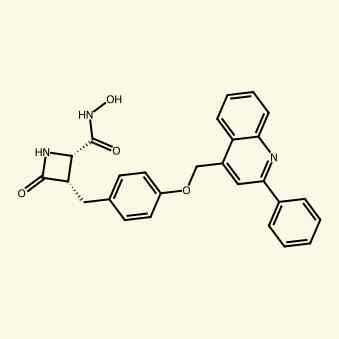 O=C1N[C@H](C(=O)NO)[C@@H]1Cc1ccc(OCc2cc(-c3ccccc3)nc3ccccc23)cc1